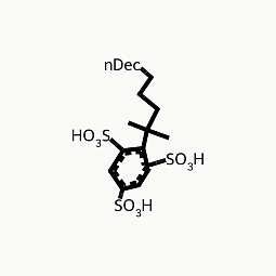 CCCCCCCCCCCCCC(C)(C)c1c(S(=O)(=O)O)cc(S(=O)(=O)O)cc1S(=O)(=O)O